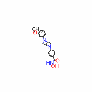 COc1cccc(N2CC3C2CN3c2ccc(C(=O)NO)cc2)c1